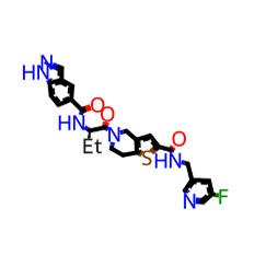 CC[C@@H](NC(=O)c1ccc2[nH]ncc2c1)C(=O)N1CCc2sc(C(=O)NCc3cncc(F)c3)cc2C1